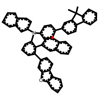 CC1(C)c2ccccc2-c2ccc(-c3ccc(N(c4ccc5ccccc5c4)c4cccc(-c5ccc6c(c5)oc5ccccc56)c4-c4ccc5ccccc5c4)cc3)cc21